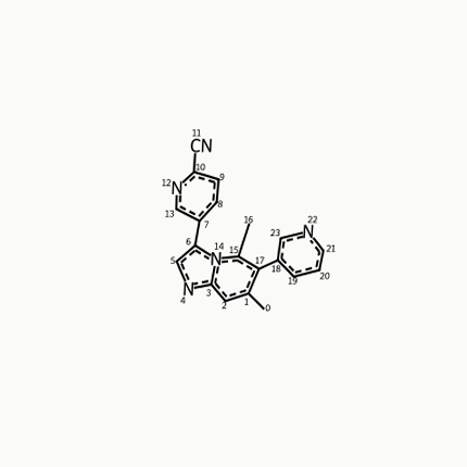 Cc1cc2ncc(-c3ccc(C#N)nc3)n2c(C)c1-c1cccnc1